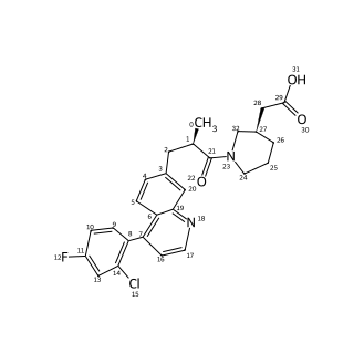 C[C@H](Cc1ccc2c(-c3ccc(F)cc3Cl)ccnc2c1)C(=O)N1CCC[C@H](CC(=O)O)C1